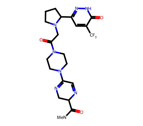 CNC(=O)C1CN=C(N2CCN(C(=O)CN3CCCC3c3cc(C(F)(F)F)c(=O)[nH]n3)CC2)C=N1